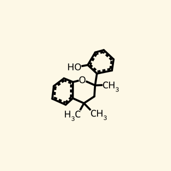 CC1(C)CC(C)(c2ccccc2O)Oc2ccccc21